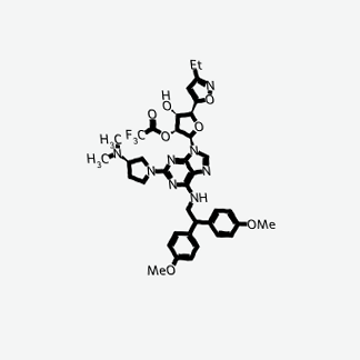 CCc1cc([C@H]2O[C@@H](n3cnc4c(NCC(c5ccc(OC)cc5)c5ccc(OC)cc5)nc(N5CC[C@@H](N(C)C)C5)nc43)[C@H](OC(=O)C(F)(F)F)[C@@H]2O)on1